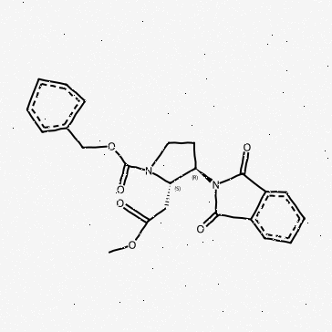 COC(=O)C[C@H]1[C@H](N2C(=O)c3ccccc3C2=O)CCN1C(=O)OCc1ccccc1